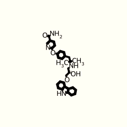 CC(C)(Cc1ccc(Oc2ccc(C(N)=O)cn2)cc1)NC[C@H](O)COc1cccc2[nH]c3ccccc3c12